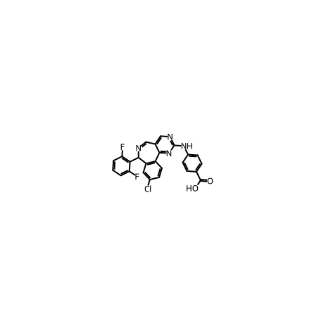 O=C(O)c1ccc(Nc2ncc3c(n2)-c2ccc(Cl)cc2C(c2c(F)cccc2F)N=C3)cc1